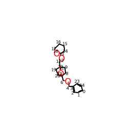 c1ccc(COCC23CCC(COC4CCCCO4)(CC2)CO3)cc1